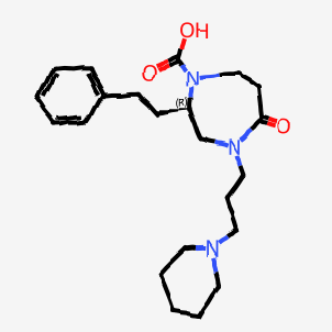 O=C1CCN(C(=O)O)[C@H](CCc2ccccc2)CN1CCCN1CCCCC1